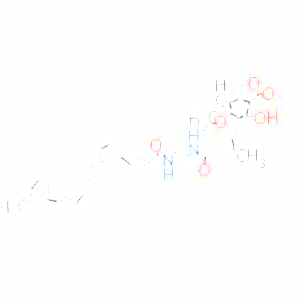 CC/C=C\C/C=C\C/C=C\CCCC/C=C\C/C=C\CCC(=O)NCCNC(=O)CC/C(C)=C/Cc1c(O)c2c(c(C)c1OC)COC2=O